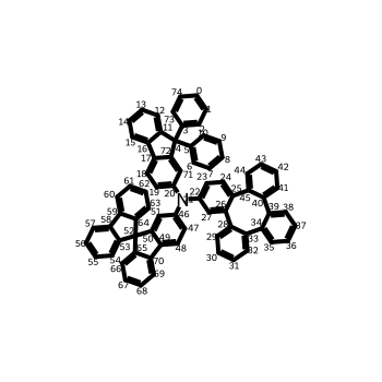 c1ccc(C2(c3ccccc3)c3ccccc3-c3ccc(N(c4ccc5c(c4)-c4ccccc4-c4ccccc4-c4ccccc4-5)c4ccc5c(c4)C4(c6ccccc6-c6ccccc64)c4ccccc4-5)cc32)cc1